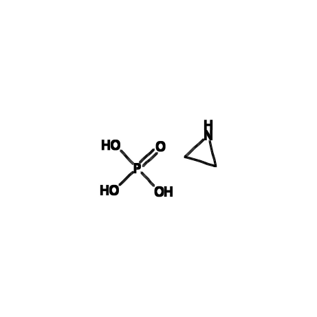 C1CN1.O=P(O)(O)O